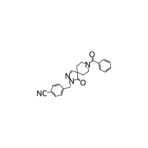 N#Cc1ccc(CN2N=CC3(CCN(C(=O)c4ccccc4)CC3)C2=O)cc1